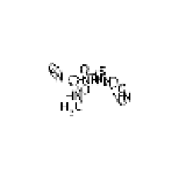 CCNC(=O)c1cc(CN2CCOCC2)ccc1NC(=O)c1csc(N2CCC(Oc3ncccn3)CC2)n1